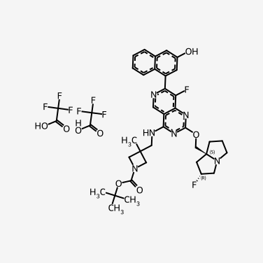 CC1(CNc2nc(OC[C@@]34CCCN3C[C@H](F)C4)nc3c(F)c(-c4cc(O)cc5ccccc45)ncc23)CN(C(=O)OC(C)(C)C)C1.O=C(O)C(F)(F)F.O=C(O)C(F)(F)F